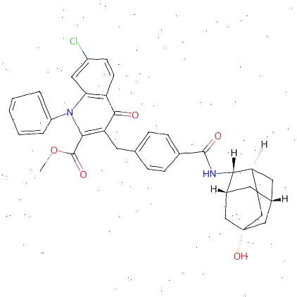 COC(=O)c1c(Cc2ccc(C(=O)N[C@H]3[C@@H]4C[C@@H]5C[C@H]3C[C@@](O)(C5)C4)cc2)c(=O)c2ccc(Cl)cc2n1-c1ccccc1